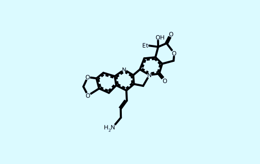 CCC1(O)C(=O)OCc2c1cc1n(c2=O)Cc2c-1nc1cc3c(cc1c2C=CCN)OCO3